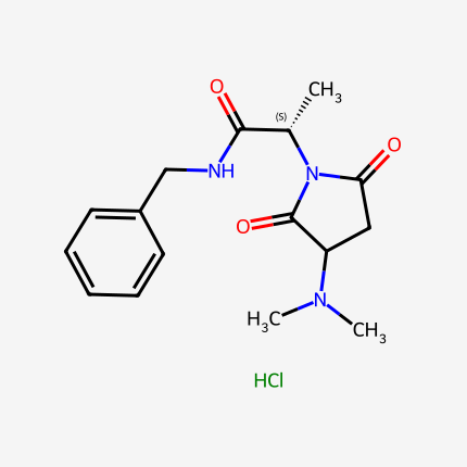 C[C@@H](C(=O)NCc1ccccc1)N1C(=O)CC(N(C)C)C1=O.Cl